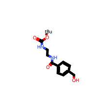 CC(C)(C)OC(=O)NCCNC(=O)c1ccc(CO)cc1